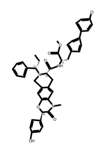 CC[C@@H](c1ccccc1)N1Cc2cc3c(cc2C[C@H]1C(=O)N[C@@H](Cc1ccc(-c2ccc(Cl)cc2)cc1)C(=O)OC)N(C)C(=O)[C@@H](c1ccc(O)cc1)O3